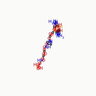 CP(=O)(O)OCC(O)COCCCNC(=O)OCc1ccc(OC(=O)c2ccc(OCC(=O)NCCC(=O)N3Cc4ccccc4-c4nnn(CCOc5ccc(C(=O)Oc6ccc(CS[P@]7(=O)OC[C@H]8O[C@@H](n9cnc%10c(N)ncnc%109)[C@H](O)[C@@H]8OPOC[C@H]8O[C@@H](n9cnc%10c(N)ncnc%109)[C@H](O7)[C@@H]8O)cc6)cc5)c4-c4ccccc43)cc2)cc1